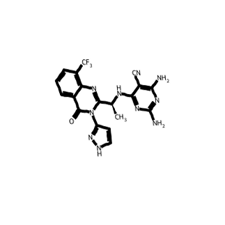 C[C@H](Nc1nc(N)nc(N)c1C#N)c1nc2c(C(F)(F)F)cccc2c(=O)n1-c1cc[nH]n1